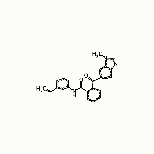 C=Cc1cccc(NC(=O)c2ccccc2C(=O)c2ccc3n[c]n(C)c3c2)c1